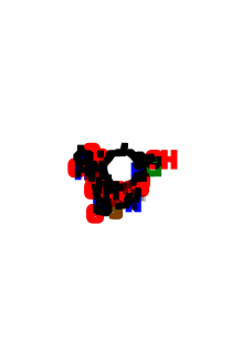 CO[C@@H]1/C=C/C=C(\C)Cc2cc(CO)c(Cl)c(c2)N(C)C(=O)C[C@H](OC(=O)[C@H](C)N(C)C(=O)CCSC2CC(=O)N(CCOCCOCCN3C(=O)CC(C)C3=O)C2=O)[C@]2(C)O[C@H]2[C@H](C)[C@@H]2C[C@@]1(O)NC(=O)O2